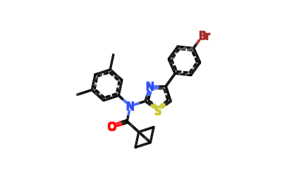 Cc1cc(C)cc(N(C(=O)C23CC2C3)c2nc(-c3ccc(Br)cc3)cs2)c1